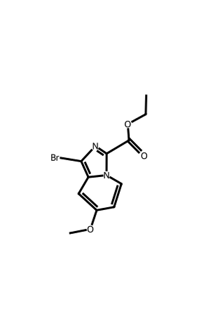 CCOC(=O)c1nc(Br)c2cc(OC)ccn12